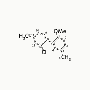 COc1ccc(C)cc1-c1ccc(C)cc1Cl